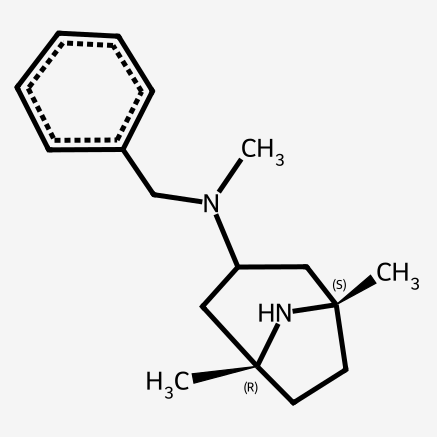 CN(Cc1ccccc1)C1C[C@]2(C)CC[C@](C)(C1)N2